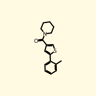 Cc1ccccc1-c1cc(C(=O)N2CCCCC2)cs1